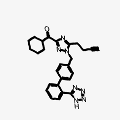 C#CCCc1nc(C(=O)C2CCCCC2)nn1Cc1ccc(-c2ccccc2-c2nnn[nH]2)cc1